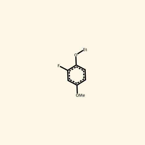 CCOc1ccc(OC)cc1F